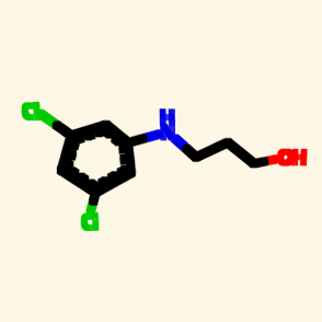 OCCCNc1cc(Cl)cc(Cl)c1